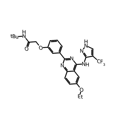 CCOc1ccc2nc(-c3cccc(OCC(=O)NC(C)(C)C)c3)nc(Nc3n[nH]cc3C(F)(F)F)c2c1